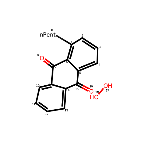 CCCCCc1cccc2c1C(=O)c1ccccc1C2=O.OO